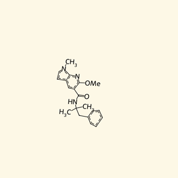 COc1nc2c(ccn2C)cc1C(=O)NC(C)(C)Cc1ccccc1